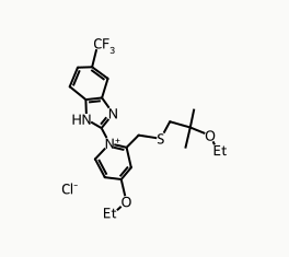 CCOc1cc[n+](-c2nc3cc(C(F)(F)F)ccc3[nH]2)c(CSCC(C)(C)OCC)c1.[Cl-]